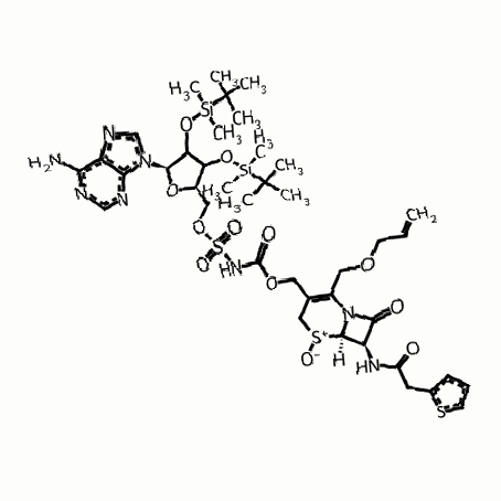 C=CCOCC1=C(COC(=O)NS(=O)(=O)OC[C@H]2O[C@@H](n3cnc4c(N)ncnc43)C(O[Si](C)(C)C(C)(C)C)C2O[Si](C)(C)C(C)(C)C)C[S+]([O-])[C@@H]2[C@H](NC(=O)Cc3cccs3)C(=O)N12